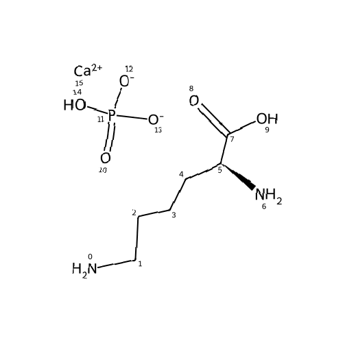 NCCCC[C@H](N)C(=O)O.O=P([O-])([O-])O.[Ca+2]